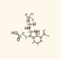 C=C(C)c1cccc2c(CCC(=O)O)c(NC(=O)OC(C)(C)C)[nH]c12